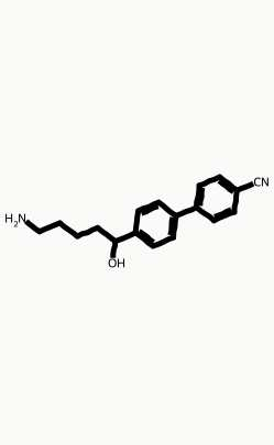 N#Cc1ccc(-c2ccc(C(O)CCCCN)cc2)cc1